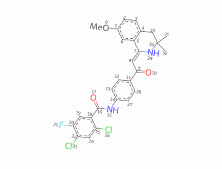 COc1ccc2c(c1)C(=CC(=O)c1ccc(NC(=O)c3cc(F)c(Cl)cc3Cl)cc1)NC(C)(C)C2